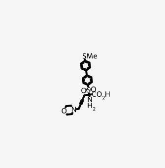 CSc1ccc(-c2ccc(S(=O)(=O)C(N)(CC#CCN3CCOCC3)C(=O)O)cc2)cc1